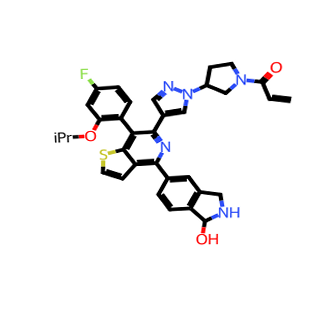 C=CC(=O)N1CCC(n2cc(-c3nc(-c4ccc5c(c4)CNC5O)c4ccsc4c3-c3ccc(F)cc3OC(C)C)cn2)C1